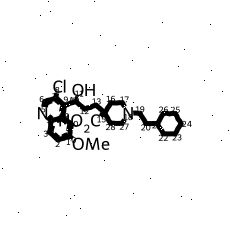 COc1ccc2ncc(Cl)c([C@@H](O)CCC3(C(=O)O)CCN(CCC4CCCCC4)CC3)c2c1